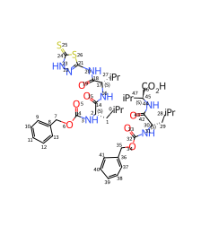 CC(C)C[C@H](NC(=O)OCc1ccccc1)C(=O)N[C@H](C(=O)Nc1n[nH]c(=S)s1)C(C)C.CC(C)C[C@H](NC(=O)OCc1ccccc1)C(=O)N[C@H](C(=O)O)C(C)C